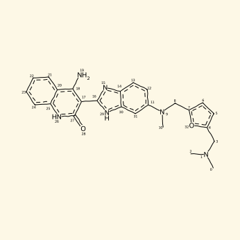 CN(C)Cc1ccc(CN(C)c2ccc3nc(-c4c(N)c5ccccc5[nH]c4=O)[nH]c3c2)o1